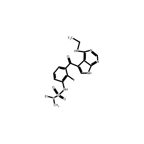 CCN(C)S(=O)(=O)Nc1cccc(C(=O)c2c[nH]c3ncnc(NCC(F)(F)F)c23)c1F